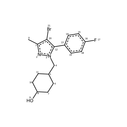 Cc1nn(CC2CCC(O)CC2)c(-c2ccc(F)cc2)c1Br